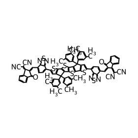 Cc1cc(C)cc(C2(c3cc(C)cc(C)c3)c3cc(-c4ccc(/C=C5\C(=O)c6ccccc6C5=C(C#N)C#N)c5nsnc45)sc3-c3sc4c5c(sc4c32)-c2sc(-c3ccc(/C=C4\C(=O)c6ccccc6C4=C(C#N)C#N)c4nsnc34)cc2C5(c2cc(C)cc(C)c2)c2cc(C)cc(C)c2)c1